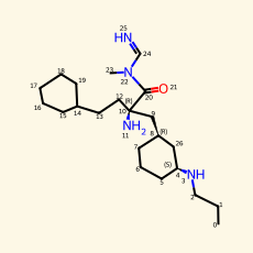 CCCN[C@H]1CCC[C@@H](C[C@](N)(CCC2CCCCC2)C(=O)N(C)C=N)C1